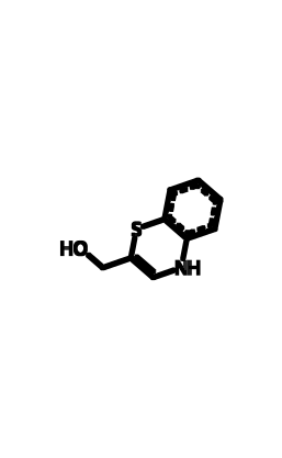 OCC1=CNc2ccccc2S1